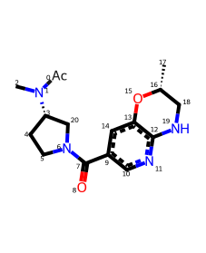 CC(=O)N(C)[C@H]1CCN(C(=O)c2cnc3c(c2)O[C@H](C)CN3)C1